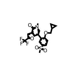 Cn1cc(-c2cc(S(C)(=O)=O)ccc2OCC2CC2)c2oc(C(F)(F)F)cc2c1=O